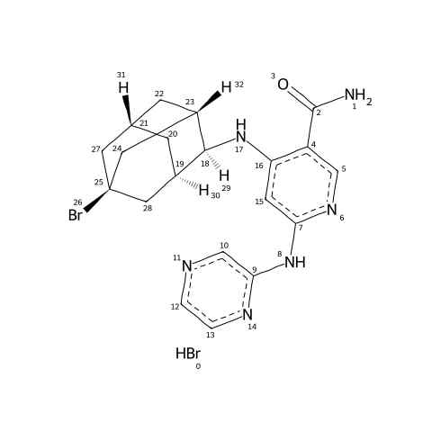 Br.NC(=O)c1cnc(Nc2cnccn2)cc1N[C@H]1[C@@H]2C[C@H]3C[C@H]1C[C@@](Br)(C3)C2